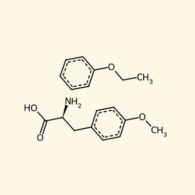 CCOc1ccccc1.COc1ccc(C[C@H](N)C(=O)O)cc1